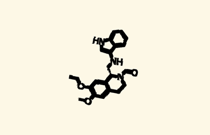 CCOc1cc2c(cc1OC)CCN(C=O)[C@H]2CNc1c[nH]c2ccccc12